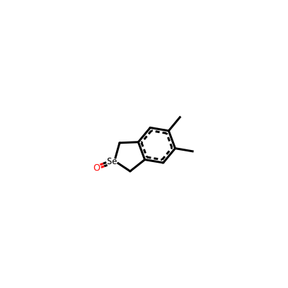 Cc1cc2c(cc1C)C[Se](=O)C2